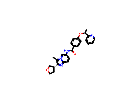 Cc1c([C@@H]2CCOC2)nc2ccc(NC(=O)c3ccc(OC(C)c4ccccn4)cc3)cn12